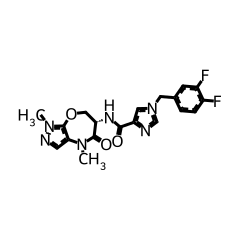 CN1C(=O)[C@@H](NC(=O)c2cn(Cc3ccc(F)c(F)c3)cn2)COc2c1cnn2C